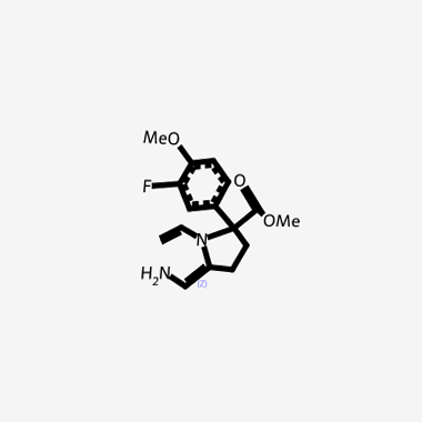 C=CN1/C(=C\N)CCC1(C(=O)OC)c1ccc(OC)c(F)c1